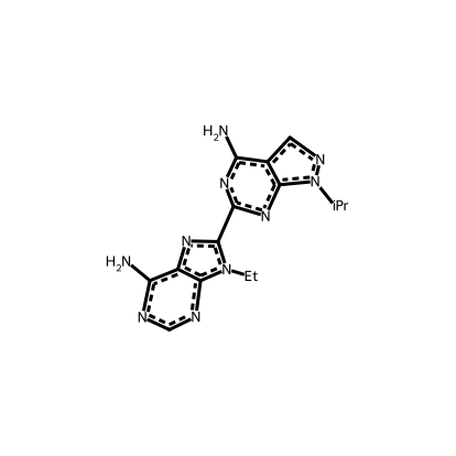 CCn1c(-c2nc(N)c3cnn(C(C)C)c3n2)nc2c(N)ncnc21